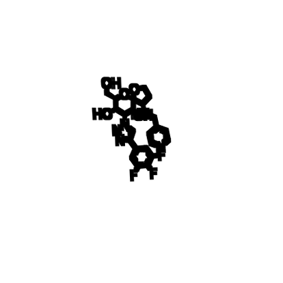 OC[C@H]1O[C@]2(OCC[C@H]2NCc2ccncc2)[C@H](O)[C@@H](n2cc(-c3cc(F)c(F)c(F)c3)nn2)[C@H]1O